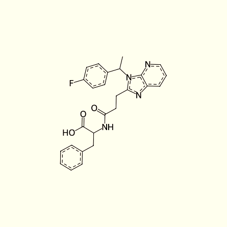 CC(c1ccc(F)cc1)n1c(CCC(=O)NC(Cc2ccccc2)C(=O)O)nc2cccnc21